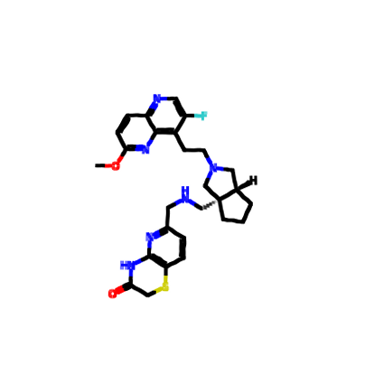 COc1ccc2ncc(F)c(CCN3C[C@@H]4CCC[C@@]4(CNCc4ccc5c(n4)NC(=O)CS5)C3)c2n1